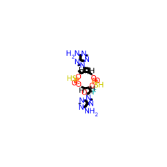 C=C1OP(=O)(S)OC[C@H]2O[C@@H](n3cnc4c(N)ncnc43)[C@H](F)[C@@H]2OP(=O)(S)OC[C@H]2C[C@@H](n3cnc4c(N)ncnc43)[C@H]12